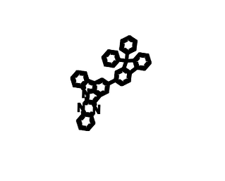 c1ccc(C2(c3ccccc3)c3ccccc3-c3ccc(-c4cc5c6ccccc6n6c7nc8ccccc8nc7c(c4)c56)cc32)cc1